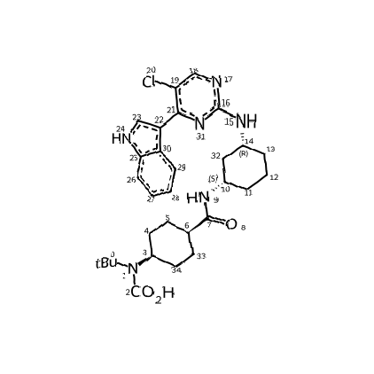 CC(C)(C)N(C(=O)O)[C@H]1CC[C@@H](C(=O)N[C@H]2CCC[C@@H](Nc3ncc(Cl)c(-c4c[nH]c5ccccc45)n3)C2)CC1